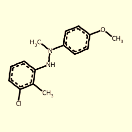 COc1ccc(N(C)Nc2cccc(Cl)c2C)cc1